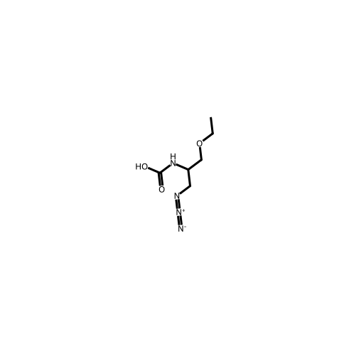 CCOCC(CN=[N+]=[N-])NC(=O)O